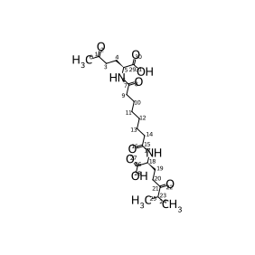 CC(=O)CC[C@H](NC(=O)CCCCCCC(=O)N[C@@H](CCC(=O)C(C)C)C(=O)O)C(=O)O